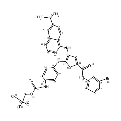 CC(C)c1ccc2c(Nc3cc(C(=O)Nc4cccc(Br)c4)sc3Sc3ccc(NC(=O)OCC(Cl)(Cl)Cl)cc3)ncnc2n1